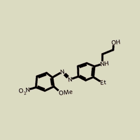 CCc1cc(N=Nc2ccc([N+](=O)[O-])cc2OC)ccc1NCCO